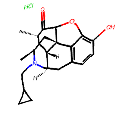 C[C@@H]1[C@H]2[C@H]3Cc4ccc(O)c5c4[C@@]2(CCN3CC2CC2)C(O5)C(=O)[C@H]1C.Cl